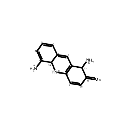 NC1=CC=CC2=CC3=C(C=CC(=O)C3N)NC12